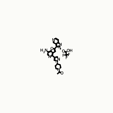 CC(=O)N1CCC(n2cc(-c3ncc(N)c4oc(-c5c6cnccc6nn5C)cc34)cn2)CC1.O=C(O)C(F)(F)F